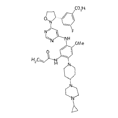 C=CC(=O)Nc1cc(Nc2cc(N3OCC[C@@H]3c3cc(F)cc(C(=O)O)c3)ncn2)c(OC)cc1N1CCC(N2CCN(C3CC3)CC2)CC1